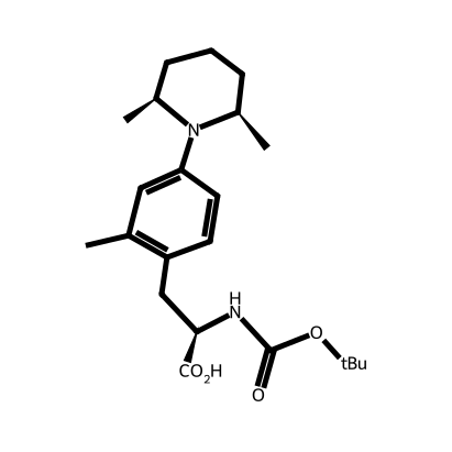 Cc1cc(N2[C@H](C)CCC[C@@H]2C)ccc1C[C@@H](NC(=O)OC(C)(C)C)C(=O)O